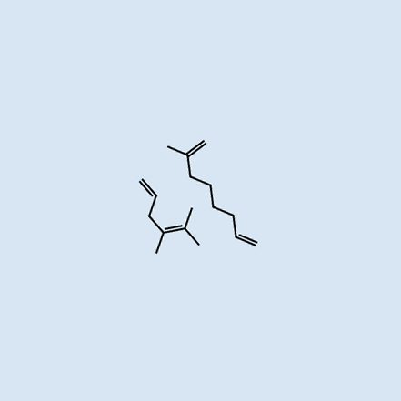 C=CCC(C)=C(C)C.C=CCCCCC(=C)C